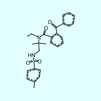 CCN(C(=O)c1ccccc1C(=O)c1ccccc1)C(C)(C)CNS(=O)(=O)c1ccc(C)cc1